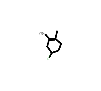 CCCCC1=C(C)CCC(F)C1